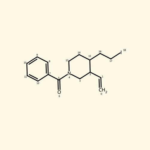 C=CC1CN(C(=O)c2ccccc2)CCC1CCI